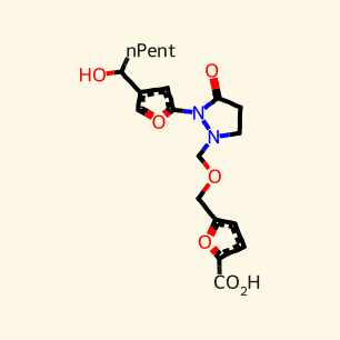 CCCCCC(O)c1coc(N2C(=O)CCN2COCc2ccc(C(=O)O)o2)c1